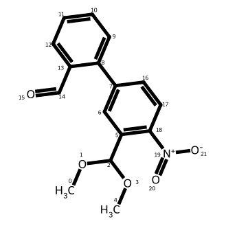 COC(OC)c1cc(-c2ccccc2C=O)ccc1[N+](=O)[O-]